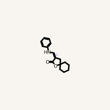 O=C1OC2(CCCCC2)C/C1=C/Nc1ccccc1